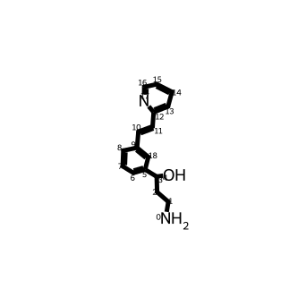 NCCC(O)c1cccc(/C=C/c2ccccn2)c1